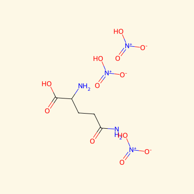 NC(=O)CCC(N)C(=O)O.O=[N+]([O-])O.O=[N+]([O-])O.O=[N+]([O-])O